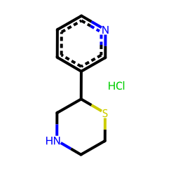 Cl.c1cncc(C2CNCCS2)c1